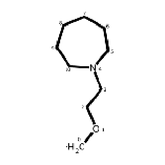 [CH2]OCCN1CCCCCC1